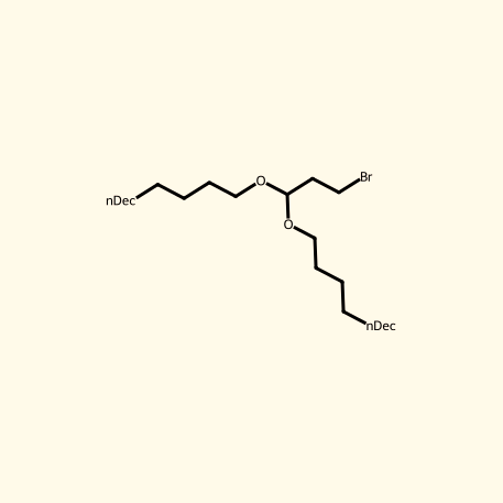 CCCCCCCCCCCCCCOC(CCBr)OCCCCCCCCCCCCCC